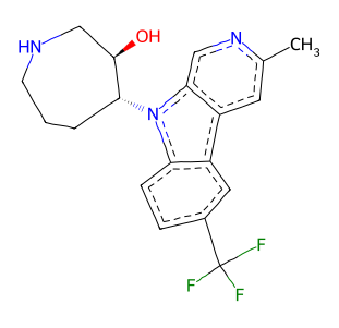 Cc1cc2c3cc(C(F)(F)F)ccc3n([C@@H]3CCCNC[C@H]3O)c2cn1